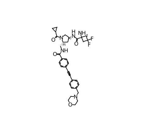 NC1(C(=O)N[C@@H]2C[C@H](CNC(=O)c3ccc(C#Cc4ccc(CN5CCOCC5)cc4)cc3)N(C(=O)C3CC3)C2)CC(F)(F)C1